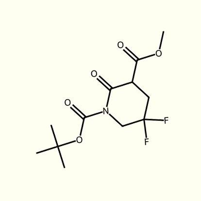 COC(=O)C1CC(F)(F)CN(C(=O)OC(C)(C)C)C1=O